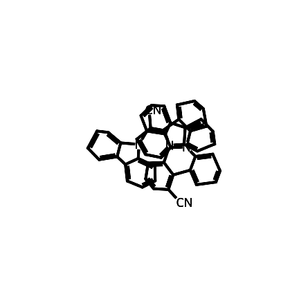 N#Cc1cccc(-n2c3ccccc3c3cccc(-n4c5ccccc5c5ccccc54)c32)c1-c1ccccc1-n1c2ccccc2c2c(C#N)cccc21